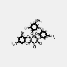 Nc1ccc(ON2P(Cl)N(Cl)P(Cl)N=P2(Oc2ccc(N)cc2Br)Oc2ccc(N)cc2Br)c(Br)c1